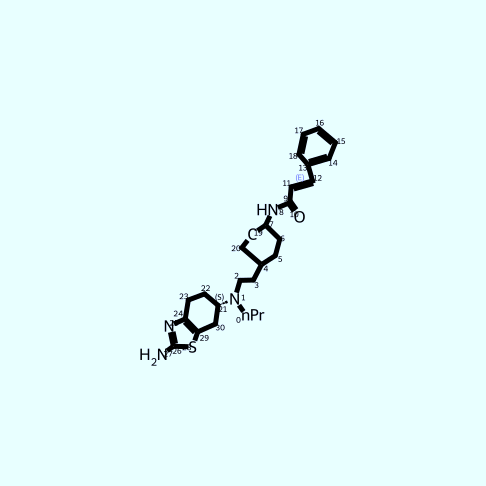 CCCN(CCC1CCC(NC(=O)/C=C/c2ccccc2)CC1)[C@H]1CCc2nc(N)sc2C1